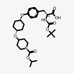 CC(C)OC(=O)N1CCC(O[C@H]2CC[C@H](Oc3ccc(C[C@H](NC(=O)OC(C)(C)C)C(=O)O)cc3)CC2)CC1